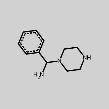 NC(c1ccccc1)N1CCNCC1